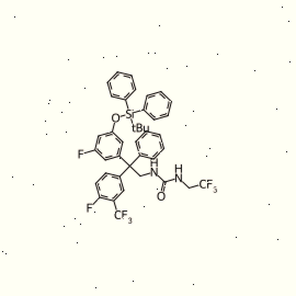 CC(C)(C)[Si](Oc1cc(F)cc(C(CNC(=O)NCC(F)(F)F)(c2ccccc2)c2ccc(F)c(C(F)(F)F)c2)c1)(c1ccccc1)c1ccccc1